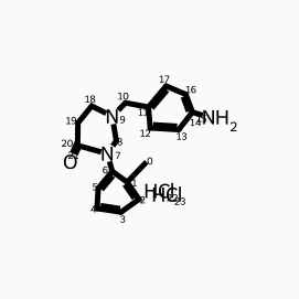 Cc1ccccc1N1CN(Cc2ccc(N)cc2)CCC1=O.Cl.Cl